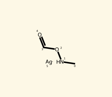 CNOC=O.[Ag]